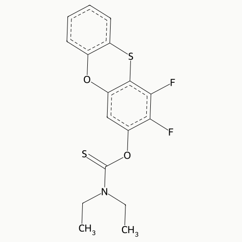 CCN(CC)C(=S)Oc1cc2c(c(F)c1F)Sc1ccccc1O2